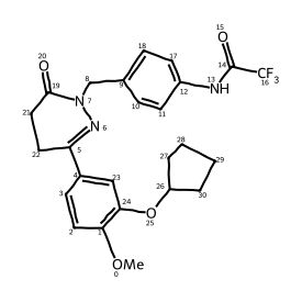 COc1ccc(C2=NN(Cc3ccc(NC(=O)C(F)(F)F)cc3)C(=O)CC2)cc1OC1CCCC1